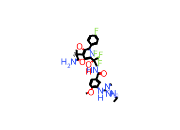 C=N/C(=N\N=C/C)Nc1cc(C(=O)NCC(O)(c2cc3c(c(-c4ccc(F)cc4)n2)OC[C@]3(C)C(N)=O)C(F)(F)F)ccc1OC